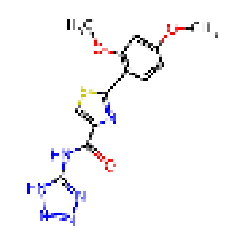 COc1ccc(-c2nc(C(=O)Nc3nnn[nH]3)cs2)c(OC)c1